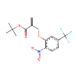 C=C(COc1cc(C(F)(F)F)ccc1[N+](=O)[O-])C(=O)OC(C)(C)C